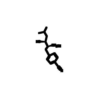 CC(C)C[C@H](O)[C@H](N)Cc1ccc(C#N)cc1.Cl